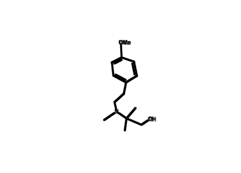 COc1ccc(CCN(C)C(C)(C)CO)cc1